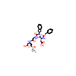 C[S+]([O-])/C=C/C(CC(=O)O)NC(=O)CNC(=O)C(NC(=O)[C@H](CC(=O)O)NC(=O)OCc1ccccc1)C1Cc2ccccc2C1